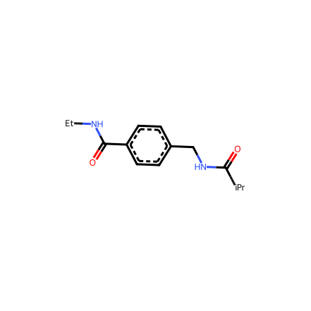 CCNC(=O)c1ccc(CNC(=O)C(C)C)cc1